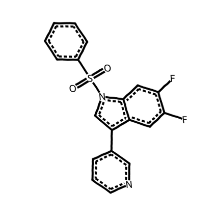 O=S(=O)(c1ccccc1)n1cc(-c2cccnc2)c2cc(F)c(F)cc21